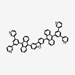 c1cncc(-c2cc(-c3cccnc3)cc(-c3c4ccccc4c(-c4ccc5c(c4)oc4ccc(-c6c7ccccc7c(-c7cc(-c8cccnc8)cc(-c8cccnc8)c7)c7ccccc67)cc45)c4ccccc34)c2)c1